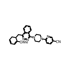 COC1=CC=CCC1Cc1nnc(N2CCN(c3ccc(C#N)cn3)CC2)c2ccccc12